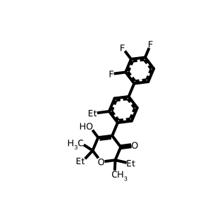 CCc1cc(-c2ccc(F)c(F)c2F)ccc1C1=C(O)C(C)(CC)OC(C)(CC)C1=O